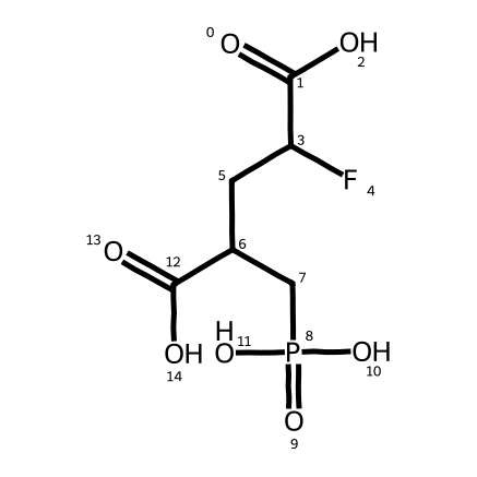 O=C(O)C(F)CC(CP(=O)(O)O)C(=O)O